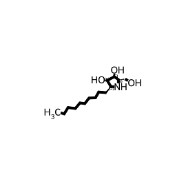 CCCCCCCCCC[C@@H]1N[C@@H](CO)[C@H](O)[C@H]1O